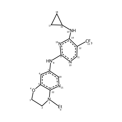 CCN1CCOc2cc(Nc3ncc(C(F)(F)F)c(NC4CC4)n3)cnc21